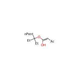 CCCCCC(CC)(CC)OC(O)=CC(C)=O